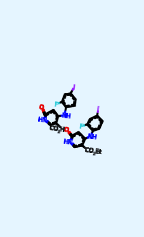 CCOC(=O)c1c[nH]c(=O)cc1Nc1ccc(I)cc1F.O=C(O)c1c[nH]c(=O)cc1Nc1ccc(I)cc1F